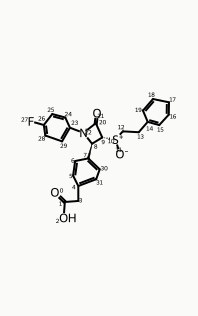 O=C(O)Cc1ccc([C@@H]2[C@@H]([S+]([O-])CCc3ccccc3)C(=O)N2c2ccc(F)cc2)cc1